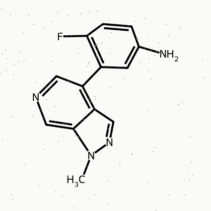 Cn1ncc2c(-c3cc(N)ccc3F)cncc21